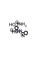 CC(=O)Nc1cc(O)c(C(N)=O)cc1/N=N/c1snc2ccccc12